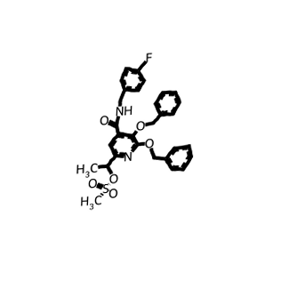 CC(OS(C)(=O)=O)c1cc(C(=O)NCc2ccc(F)cc2)c(OCc2ccccc2)c(OCc2ccccc2)n1